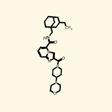 CCC1CC2CCCC(CNC(=O)c3cccc4nc(C(=O)N5CCC(N6CCOCC6)CC5)cn34)(C1)C2